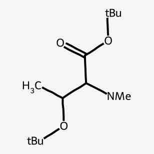 CNC(C(=O)OC(C)(C)C)C(C)OC(C)(C)C